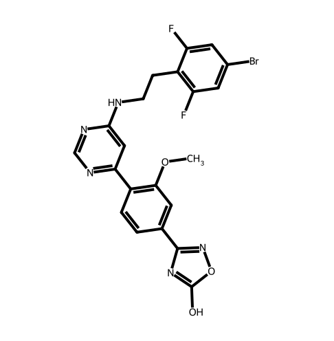 COc1cc(-c2noc(O)n2)ccc1-c1cc(NCCc2c(F)cc(Br)cc2F)ncn1